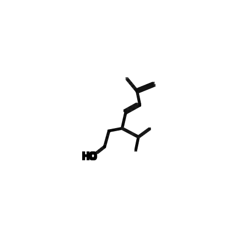 C=C(C)C=CC(CCO)C(C)C